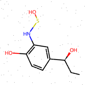 CC[C@H](O)c1ccc(O)c(NSO)c1